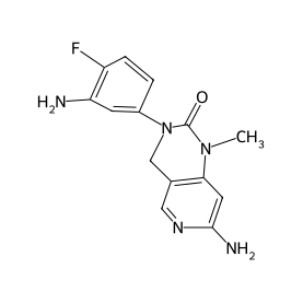 CN1C(=O)N(c2ccc(F)c(N)c2)Cc2cnc(N)cc21